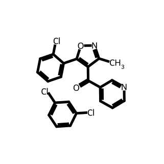 Cc1noc(-c2ccccc2Cl)c1C(=O)c1cccnc1.Clc1cccc(Cl)c1